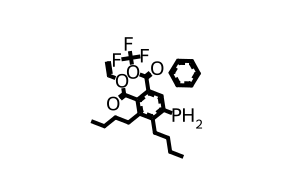 C=COC(=O)c1c(C(=O)OC(F)(F)F)cc(P)c(CCCC)c1CCCC.c1ccccc1